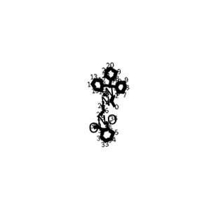 Cc1cn(C(c2ccccc2)(c2ccccc2)c2ccccc2)c[n+]1CCCN1C(=O)c2ccccc2C1=O